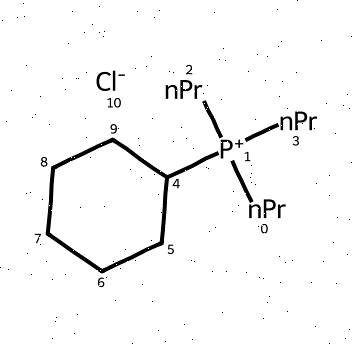 CCC[P+](CCC)(CCC)C1CCCCC1.[Cl-]